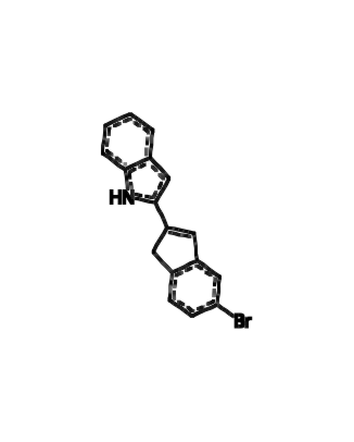 Brc1ccc2c(c1)C=C(c1cc3ccccc3[nH]1)C2